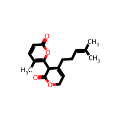 CC(C)=CCCC1=CCOC(=O)C1c1oc(=O)ccc1C